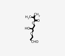 C=C(C)C(=O)OCC(O)COCCC=O